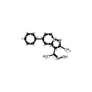 C/C(=N/O)c1c(C)nn2ccc(-c3ccccc3)cc12